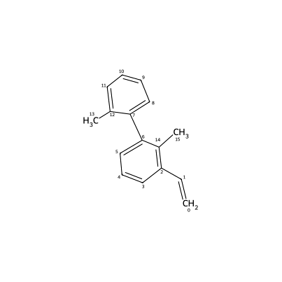 C=Cc1cccc(-c2ccccc2C)c1C